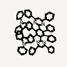 c1ccc(-c2cc(-c3ccccc3)nc(-c3c(-c4ccccc4)c(-c4ccccc4)c(-c4nc(-c5ccccc5)cc(-c5ccccc5)n4)c(-c4ccc5c(c4)c4ccccc4n5-c4ccccc4)c3-c3ccc4c(c3)c3ccccc3n4-c3ccccc3)n2)cc1